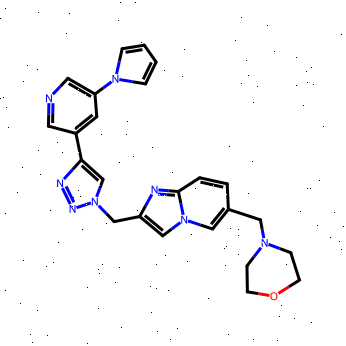 c1ccn(-c2cncc(-c3cn(Cc4cn5cc(CN6CCOCC6)ccc5n4)nn3)c2)c1